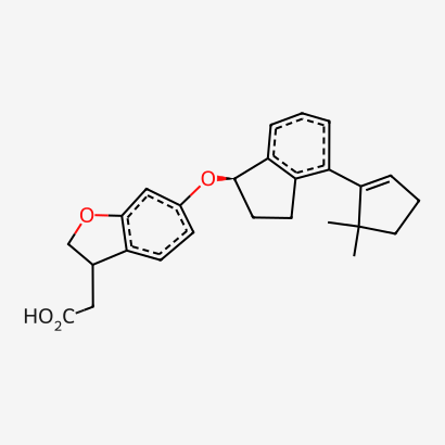 CC1(C)CCC=C1c1cccc2c1CC[C@H]2Oc1ccc2c(c1)OCC2CC(=O)O